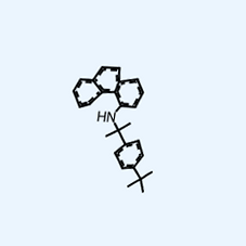 CC(C)(C)c1ccc(C(C)(C)Nc2cccc3ccc4ccccc4c23)cc1